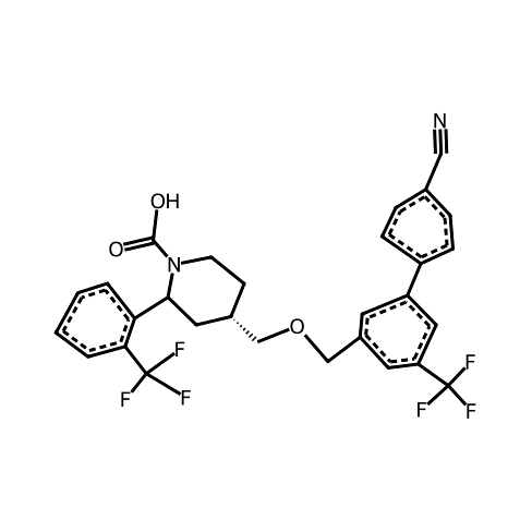 N#Cc1ccc(-c2cc(COC[C@H]3CCN(C(=O)O)C(c4ccccc4C(F)(F)F)C3)cc(C(F)(F)F)c2)cc1